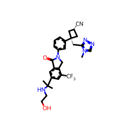 Cn1cnnc1C[C@]1(c2cccc(N3Cc4c(cc(C(C)(C)NCCO)cc4C(F)(F)F)C3=O)c2)C[C@H](C#N)C1